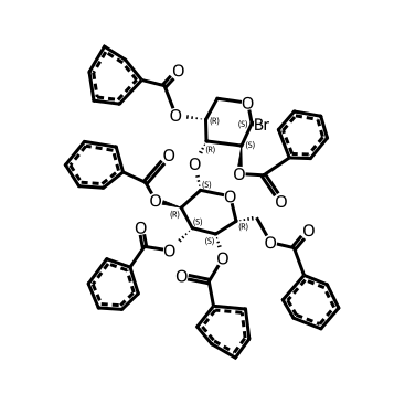 O=C(OC[C@H]1O[C@@H](O[C@H]2[C@H](OC(=O)c3ccccc3)[C@H](Br)OC[C@H]2OC(=O)c2ccccc2)[C@H](OC(=O)c2ccccc2)[C@@H](OC(=O)c2ccccc2)[C@H]1OC(=O)c1ccccc1)c1ccccc1